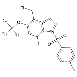 [2H]C([2H])([2H])Oc1cc(C)c2c(ccn2S(=O)(=O)c2ccc(C)cc2)c1CCl